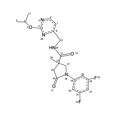 CC(C)Oc1nccc(CNC(=O)C2(C)CC(=O)N(c3cc(F)cc(F)c3)C2)n1